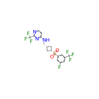 O=S(=O)(c1cc(F)cc(C(F)(F)F)c1)[C@H]1C[C@@H](CNc2ccnc(C(F)(F)F)n2)C1